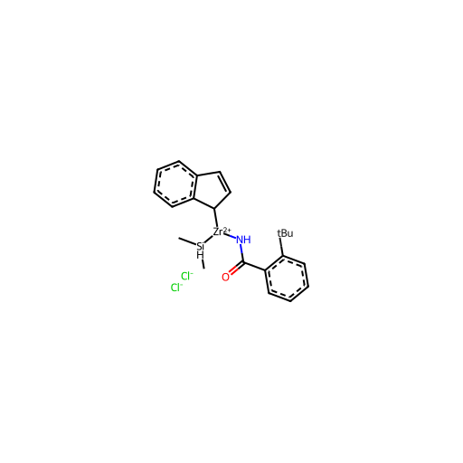 C[SiH](C)[Zr+2]([NH]C(=O)c1ccccc1C(C)(C)C)[CH]1C=Cc2ccccc21.[Cl-].[Cl-]